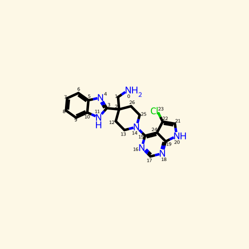 NCC1(c2nc3ccccc3[nH]2)CCN(c2ncnc3[nH]cc(Cl)c23)CC1